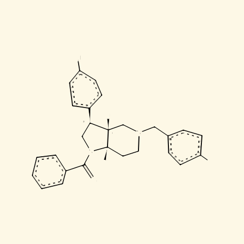 Cc1ccc([C@@H]2CN(C(=O)c3ccccc3)[C@H]3CCN(Cc4ccc(F)cc4)C[C@@H]23)cc1